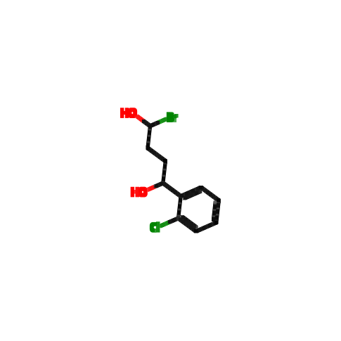 OC(Br)CCC(O)c1ccccc1Cl